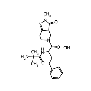 CN1N=C2CCN(C(=O)C(CCc3ccccc3)NC(=O)C(C)(C)N)CC2C1=O.Cl